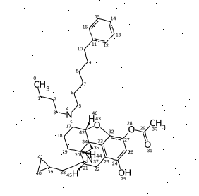 CCCCN(CCCCCCc1ccccc1)[C@H]1CC[C@H]2[C@H]3Cc4c(O)cc(OC(C)=O)c5c4[C@@]2(CCN3CC2CC2)[C@H]1O5